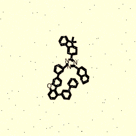 CC1(C)c2ccccc2-c2cc(-c3nc(-c4cccc(-c5ccc6c(c5)oc5cccc(-c7cccc(-c8ccccc8)c7)c56)c4)nc(-c4ccc5ccccc5c4)n3)ccc21